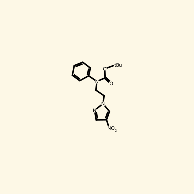 CC(C)(C)OC(=O)N(CCn1cc([N+](=O)[O-])cn1)c1ccccc1